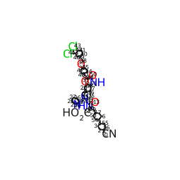 N#Cc1ccc(-c2ccc(C[C@H](NC(=O)C3Cc4cc5c(cc4CN3Cc3ccccn3)OC(c3ccc(OCc4ccc(Cl)c(Cl)c4)cc3)C(=O)N5)C(=O)O)cc2)cc1